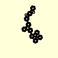 c1ccc(C2(c3ccccc3)c3ccccc3-c3c(-c4ccc5c6ccc(-c7ccc8oc9cc%10c(cc9c8c7)oc7ccccc7%10)cc6c6ccccc6c5c4)cccc32)cc1